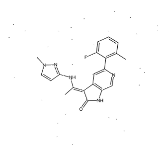 CC(Nc1ccn(C)n1)=C1C(=O)Nc2cnc(-c3c(C)cccc3F)cc21